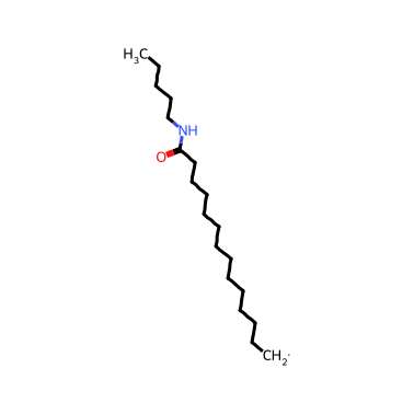 [CH2]CCCCCCCCCCCCC(=O)NCCCCC